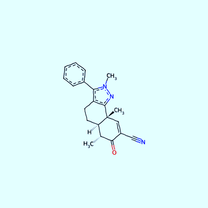 C[C@H]1C(=O)C(C#N)=C[C@@]2(C)c3nn(C)c(-c4ccccc4)c3CC[C@H]12